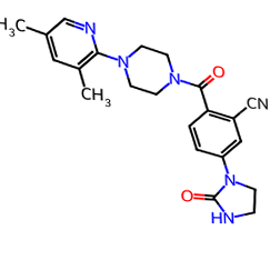 Cc1cnc(N2CCN(C(=O)c3ccc(N4CCNC4=O)cc3C#N)CC2)c(C)c1